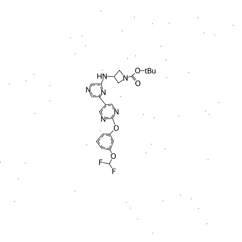 CC(C)(C)OC(=O)N1CC(Nc2cncc(-c3cnc(Oc4cccc(OC(F)F)c4)nc3)n2)C1